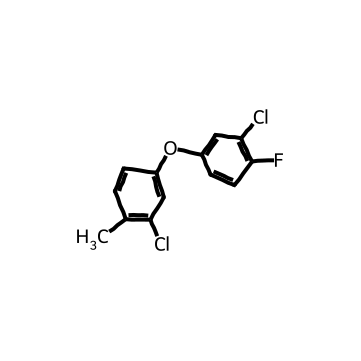 Cc1ccc(Oc2ccc(F)c(Cl)c2)cc1Cl